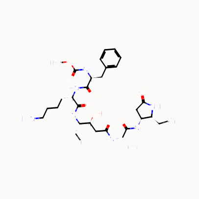 CC[C@H](C)[C@H](NC(=O)C[C@H](O)[C@H](CC(C)C)NC(=O)[C@H](CCCCN)NC(=O)[C@H](Cc1ccccc1)NC(=O)OC(C)(C)C)C(=O)N[C@H]1CC(=O)N[C@H]1CC(C)C